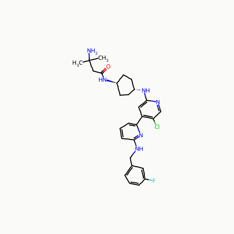 CC(C)(N)CC(=O)N[C@H]1CC[C@H](Nc2cc(-c3cccc(NCc4cccc(F)c4)n3)c(Cl)cn2)CC1